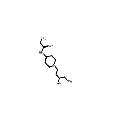 CCCC(CCN1CCC(NC(=N)CC(F)(F)F)CC1)CC(C)CC